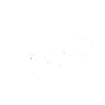 Cc1nc(N2CCC3(CCC[C@H]3N)CC2)c(CO)nc1-c1c[nH]c2ccccc12